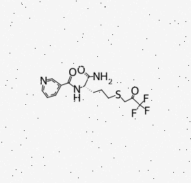 NC(=O)[C@H](CCCSCC(=O)C(F)(F)F)NC(=O)c1cccnc1